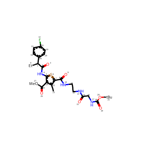 CCC(C(=O)Nc1sc(C(=O)NCCNC(=O)CNC(=O)OC(C)(C)C)c(C)c1C(=O)OC)c1ccc(F)cc1